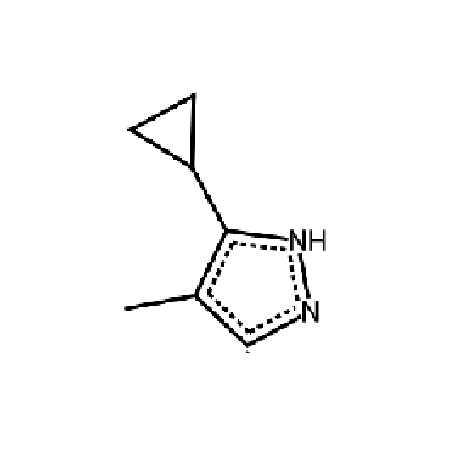 Cc1[c]n[nH]c1C1CC1